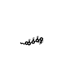 C=CCCc1ccc2c(F)c(-c3ccc(-c4ccc(-c5ccccc5C(F)(F)F)c(F)c4)c(F)c3)ccc2c1